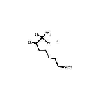 CCCCCCCCCCCCCCC(CC)C(P)(CC)CC.I